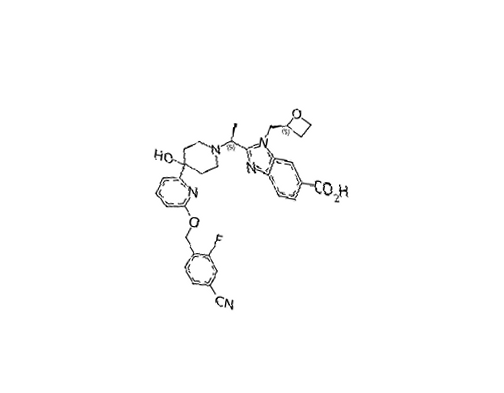 C[C@@H](c1nc2ccc(C(=O)O)cc2n1C[C@@H]1CCO1)N1CCC(O)(c2cccc(OCc3ccc(C#N)cc3F)n2)CC1